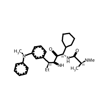 CC[C@H](C(=N)C(=O)[C@@H](NC(=O)[C@H](C)NC)C1CCCCC1)c1cccc(N(C)c2ccccc2)c1